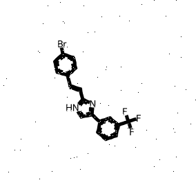 FC(F)(F)c1cccc(-c2c[nH]c(/C=C/c3ccc(Br)cc3)n2)c1